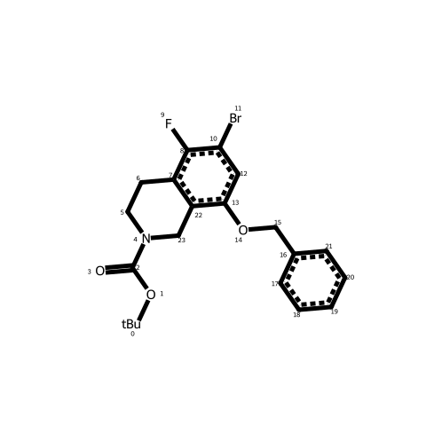 CC(C)(C)OC(=O)N1CCc2c(F)c(Br)cc(OCc3ccccc3)c2C1